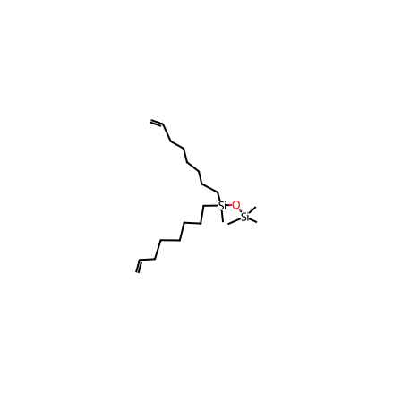 C=CCCCCCC[Si](C)(CCCCCCC=C)O[Si](C)(C)C